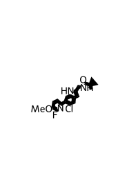 COc1ccc(-c2cc3[nH]c(CNC(=O)C4(C)CC4)cc3cc2Cl)nc1F